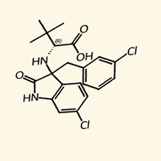 CC(C)(C)[C@@H](NC1(Cc2cccc(Cl)c2)C(=O)Nc2cc(Cl)ccc21)C(=O)O